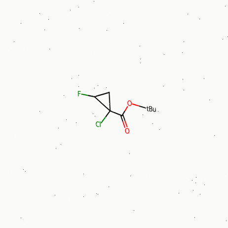 CC(C)(C)OC(=O)C1(Cl)CC1F